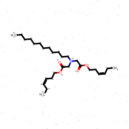 CC/C=C\CCOC(=O)CN(CCCCCCCCCCCC)CC(=O)OCC/C=C\CC